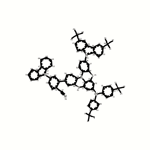 CC(C)(C)c1ccc(N(c2ccc(C(C)(C)C)cc2)c2cc3c4c(c2)Sc2cc(-n5c6ccc(C(C)(C)C)cc6c6cc(C(C)(C)C)ccc65)ccc2B4c2ccc(-c4cc(-n5c6ccccc6c6ccccc65)ccc4C#N)cc2S3)cc1